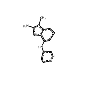 Cn1c(N)nc2c(Nc3ccnnc3)cccc21